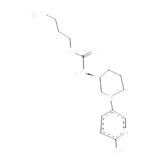 CCCCOC(=O)N[C@H]1CCCN(c2ccc(C)nc2)C1